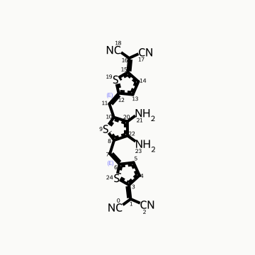 N#CC(C#N)=c1cc/c(=C\c2sc(/C=c3\ccc(=C(C#N)C#N)s3)c(N)c2N)s1